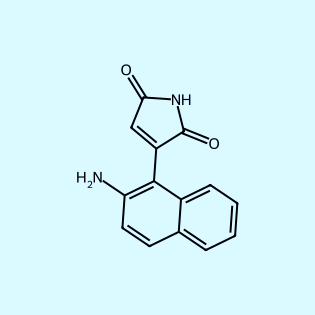 Nc1ccc2ccccc2c1C1=CC(=O)NC1=O